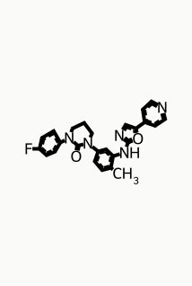 Cc1ccc(N2CCCN(c3ccc(F)cc3)C2=O)cc1Nc1ncc(-c2ccncc2)o1